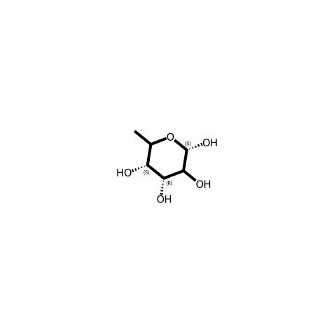 CC1O[C@H](O)C(O)[C@H](O)[C@@H]1O